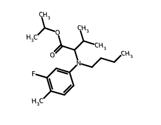 CCCCN(c1ccc(C)c(F)c1)C(C(=O)OC(C)C)C(C)C